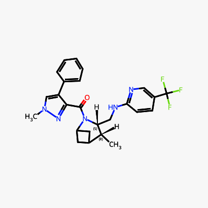 C[C@@H]1C2CC(C2)N(C(=O)c2nn(C)cc2-c2ccccc2)[C@@H]1CNc1ccc(C(F)(F)F)cn1